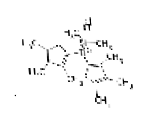 CC1=C(C)C(C)=[C]([Ti+2]([C]2=C(C)C(C)=C(C)C2)=[Si](C)C)C1.[Cl-].[Cl-]